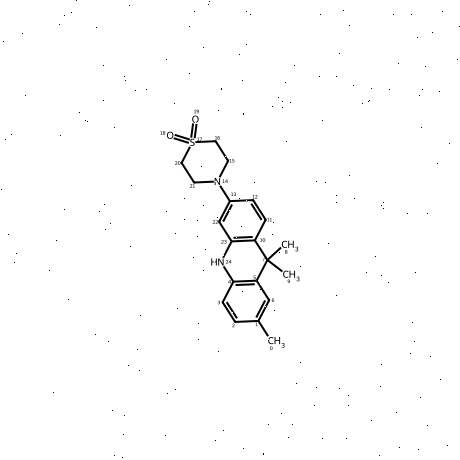 Cc1ccc2c(c1)C(C)(C)c1ccc(N3CCS(=O)(=O)CC3)cc1N2